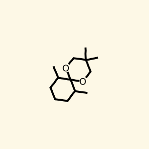 CC1CCCC(C)C12OCC(C)(C)CO2